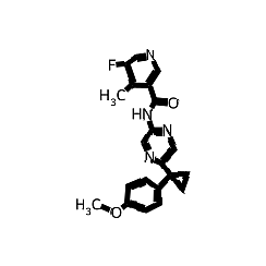 COc1ccc(C2(c3cnc(NC(=O)c4cncc(F)c4C)cn3)CC2)cc1